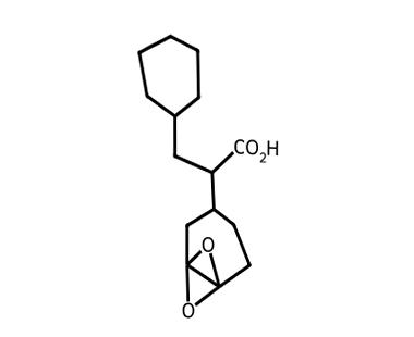 O=C(O)C(CC1CCCCC1)C1CCC23OC2(C1)O3